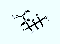 C[CH]CN(C)S(=O)(=O)C(F)(F)C(F)(F)C(F)(F)C(F)(F)F